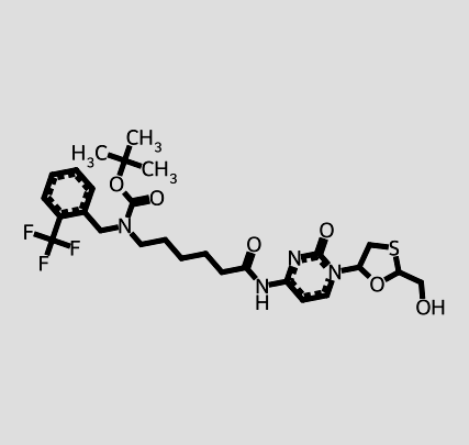 CC(C)(C)OC(=O)N(CCCCCC(=O)Nc1ccn(C2CSC(CO)O2)c(=O)n1)Cc1ccccc1C(F)(F)F